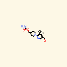 Cc1cc(C=O)cnc1N1CCC(COC(N)=O)CC1